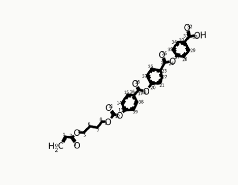 C=CC(=O)OCCCCOC(=O)Oc1ccc(C(=O)Oc2ccc(C(=O)Oc3ccc(C(=O)O)cc3)cc2)cc1